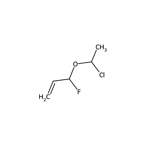 C=CC(F)OC(C)Cl